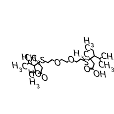 CCC(C(C)C)C(C)(CC(=O)O)SCCOCCOCCSC(C)(CC(=O)O)C(CC)C(C)C